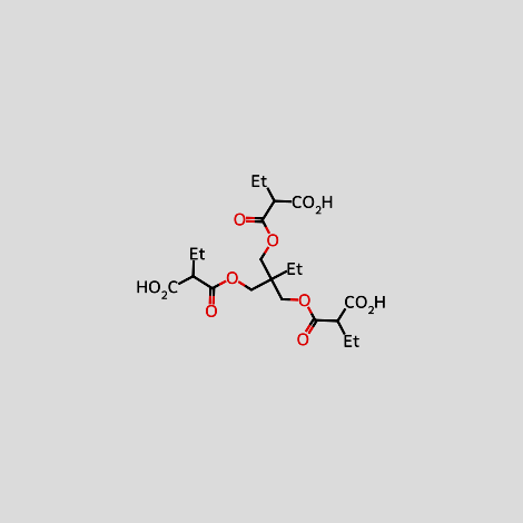 CCC(C(=O)O)C(=O)OCC(CC)(COC(=O)C(CC)C(=O)O)COC(=O)C(CC)C(=O)O